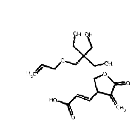 C=C1C(=O)OCC1C=CC(=O)O.C=CCOCC(CO)(CO)CO